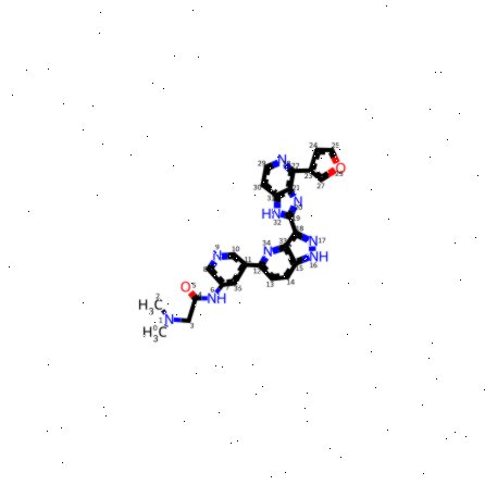 CN(C)CC(=O)Nc1cncc(-c2ccc3[nH]nc(-c4nc5c(-c6ccoc6)nccc5[nH]4)c3n2)c1